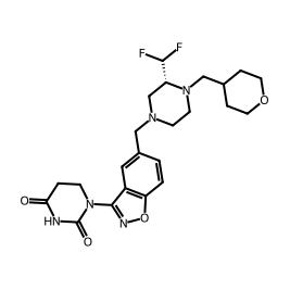 O=C1CCN(c2noc3ccc(CN4CCN(CC5CCOCC5)[C@@H](C(F)F)C4)cc23)C(=O)N1